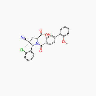 COc1ccccc1-c1ccc(C(=O)N2[C@@H](c3ccccc3Cl)[C@@](C)(C#N)C[C@H]2C(=O)O)cc1